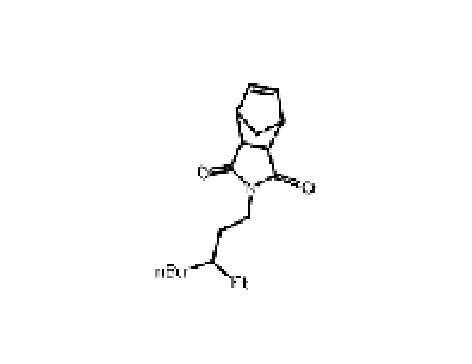 CCCCC(CC)CCN1C(=O)C2C3C=CC(C3)C2C1=O